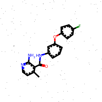 Cc1ccnc(N)c1C(=O)Nc1cccc(Oc2ccc(F)cc2)c1